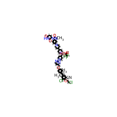 Cn1c(=O)n(C2CCC(=O)NC2=O)c2ccc(N3CCC(C4CCN(CC5CCN(c6nccc(COc7ccc(C(C)(C)c8cc(Cl)c(OCCCl)c(C#N)c8)cc7)n6)CC5)CC4)CC3)cc21.O=C(O)C(F)(F)F